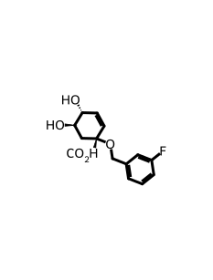 O=C(O)[C@]1(OCc2cccc(F)c2)C=C[C@@H](O)[C@H](O)C1